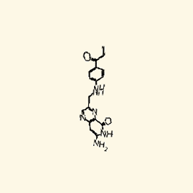 CCC(=O)c1ccc(NCc2cnc3cc(N)[nH]c(=O)c3n2)cc1